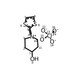 OC1CC[N+](=c2sccs2)CC1.[O-][Cl+3]([O-])([O-])[O-]